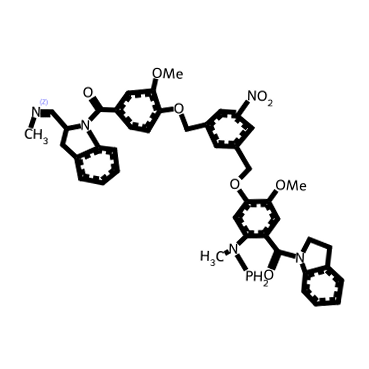 C/N=C\C1Cc2ccccc2N1C(=O)c1ccc(OCc2cc(COc3cc(N(C)P)c(C(=O)N4CCc5ccccc54)cc3OC)cc([N+](=O)[O-])c2)c(OC)c1